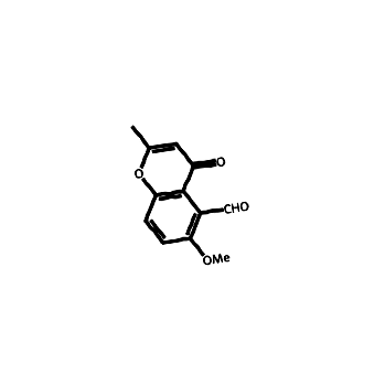 COc1ccc2oc(C)cc(=O)c2c1C=O